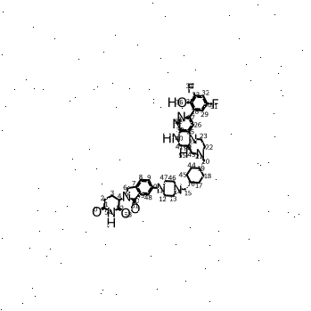 O=C1CCC(N2Cc3ccc(N4CCN(C[C@H]5CC[C@@H](CN6CCN7c8cc(-c9cc(F)cc(F)c9O)nnc8NC[C@H]7C6)CC5)CC4)cc3C2=O)C(=O)N1